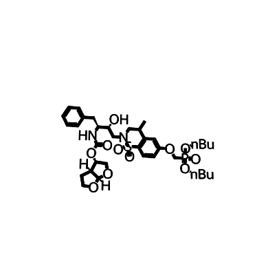 CCCCOP(=O)(COc1ccc2c(c1)C(C)CN(C[C@@H](O)[C@H](Cc1ccccc1)NC(=O)O[C@H]1CO[C@H]3OCC[C@H]31)S2(=O)=O)OCCCC